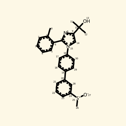 Cc1ccccc1-c1nc(C(C)(C)O)cn1-c1ccc(-c2cccc([S+](C)[O-])c2)cc1